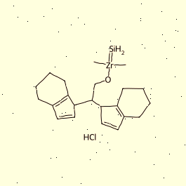 Cl.[CH3][Zr]([CH3])(=[SiH2])[O]CC(C1C=CC2=C1CCCC2)C1C=CC2=C1CCCC2